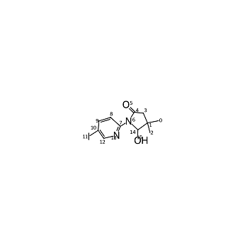 CC1(C)CC(=O)N(c2ccc(I)cn2)C1O